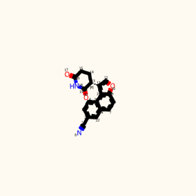 N#Cc1ccc2c(ccc3occ([C@H]4CCC(=O)NC4=O)c32)c1